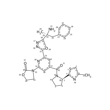 Cc1csc([C@H]2CCCN2C(=O)c2cc(-c3nnc([C@@](C)(N)Cc4ccccc4)o3)nc(N3CCOC3=O)c2)n1